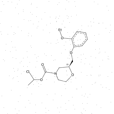 CCOc1ccccc1OC[C@@H]1CN(C(=O)OC(C)Cl)CCO1